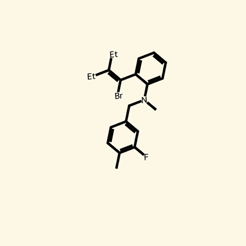 CCC(CC)=C(Br)c1ccccc1N(C)Cc1ccc(C)c(F)c1